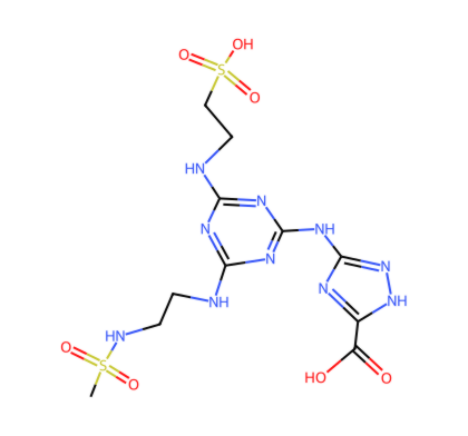 CS(=O)(=O)NCCNc1nc(NCCS(=O)(=O)O)nc(Nc2n[nH]c(C(=O)O)n2)n1